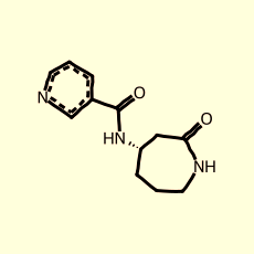 O=C1C[C@@H](NC(=O)c2cccnc2)CCCN1